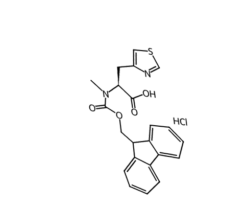 CN(C(=O)OCC1c2ccccc2-c2ccccc21)[C@@H](Cc1cscn1)C(=O)O.Cl